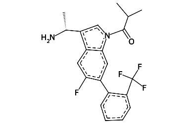 CC(C)C(=O)n1cc([C@@H](C)N)c2cc(F)c(-c3ccccc3C(F)(F)F)cc21